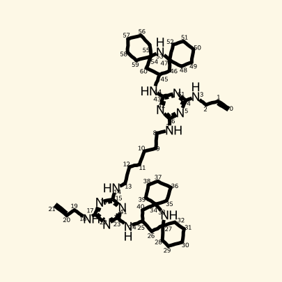 C=CCNc1nc(NCCCCCCNc2nc(NCC=C)nc(NC3CC4(CCCCC4)NC4(CCCCC4)C3)n2)nc(NC2CC3(CCCCC3)NC3(CCCCC3)C2)n1